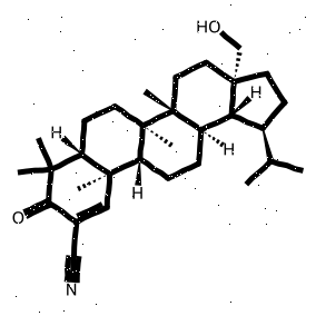 CC(C)[C@@H]1CC[C@]2(CO)CC[C@]3(C)[C@H](CC[C@@H]4[C@@]5(C)C=C(C#N)C(=O)C(C)(C)[C@@H]5CC[C@]43C)[C@@H]12